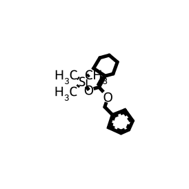 C[Si](C)(C)OC(OCc1ccccc1)=C1CCCCC1